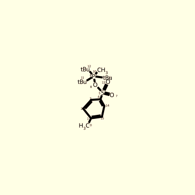 Cc1ccc(S(=O)(=O)OP(C)(C(C)(C)C)(C(C)(C)C)C(C)(C)C)cc1